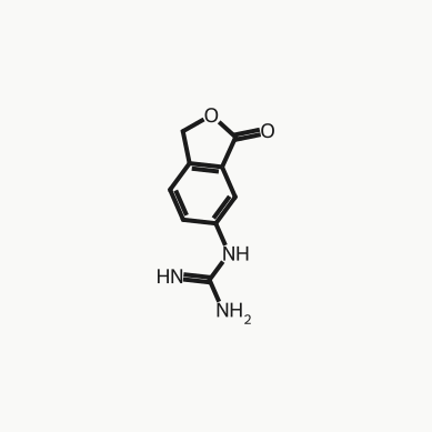 N=C(N)Nc1ccc2c(c1)C(=O)OC2